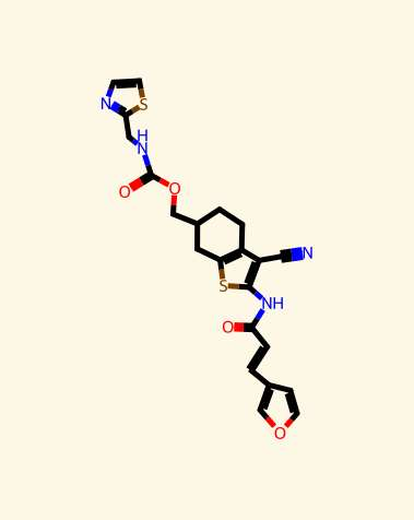 N#Cc1c(NC(=O)C=Cc2ccoc2)sc2c1CCC(COC(=O)NCc1nccs1)C2